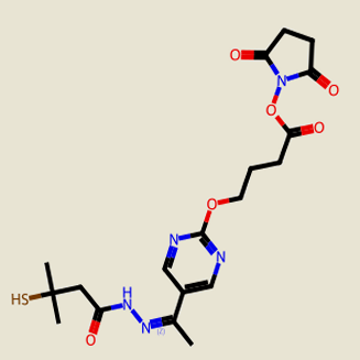 C/C(=N/NC(=O)CC(C)(C)S)c1cnc(OCCCC(=O)ON2C(=O)CCC2=O)nc1